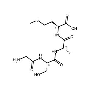 CSCC[C@H](NC(=O)[C@H](C)NC(=O)[C@H](CO)NC(=O)CN)C(=O)O